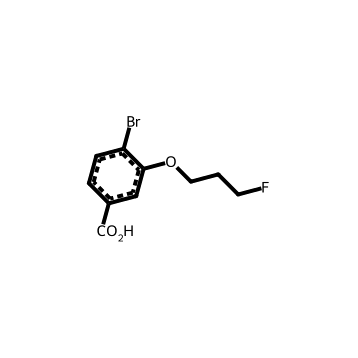 O=C(O)c1ccc(Br)c(OCCCF)c1